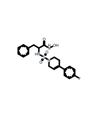 O=C(NO)C(Cc1ccccc1)NS(=O)(=O)N1CC=C(c2ccc(F)cc2)CC1